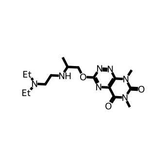 CCN(CC)CCNC(C)COc1nnc2c(n1)c(=O)n(C)c(=O)n2C